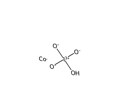 [Co].[O-][I+3]([O-])([O-])O